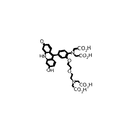 O=C(O)CN(CCOCCOc1cc(-c2c3ccc(=O)cc-3[nH]c3cc(O)ccc23)ccc1N(CC(=O)O)CC(=O)O)CC(=O)O